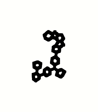 c1ccc(-c2ccccc2-c2ccc(N(c3ccccc3)c3ccc(-c4ccc5c(c4)oc4ccc6oc7ccccc7c6c45)cc3)cc2)cc1